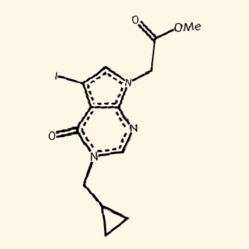 COC(=O)Cn1cc(I)c2c(=O)n(CC3CC3)cnc21